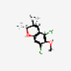 CCOc1c(Cl)cc2c(c1Cl)C=C(C(=O)O)[C@@H](C(F)(F)F)O2